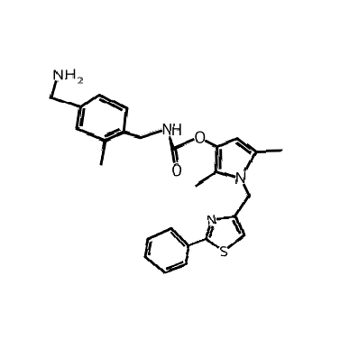 Cc1cc(CN)ccc1CNC(=O)Oc1cc(C)n(Cc2csc(-c3ccccc3)n2)c1C